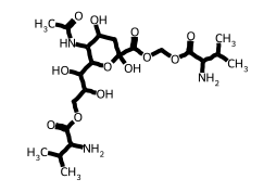 CC(=O)NC1C(O)CC(O)(C(=O)OCOC(=O)C(N)C(C)C)OC1C(O)C(O)COC(=O)C(N)C(C)C